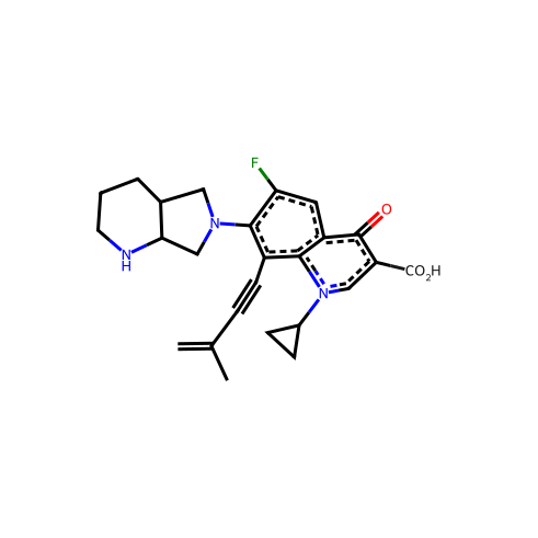 C=C(C)C#Cc1c(N2CC3CCCNC3C2)c(F)cc2c(=O)c(C(=O)O)cn(C3CC3)c12